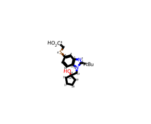 CC(C)(C)c1nc2cc(SCC(=O)O)ccc2n1CC1(O)CCCC1